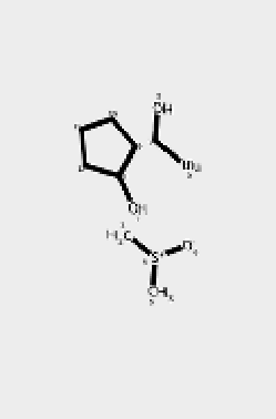 CC(C)(C)CO.C[S+](C)[O-].OC1CCCC1